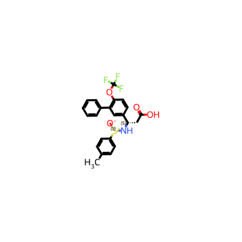 Cc1ccc([S@@+]([O-])N[C@@H](CC(=O)O)c2ccc(OC(F)(F)F)c(-c3ccccc3)c2)cc1